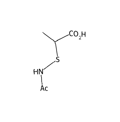 CC(=O)NSC(C)C(=O)O